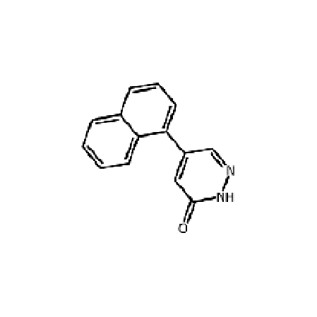 O=c1cc(-c2cccc3ccccc23)cn[nH]1